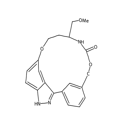 COCC1CCOc2ccc3[nH]nc(c3c2)-c2cccc(c2)COC(=O)N1